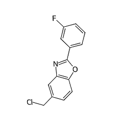 Fc1cccc(-c2nc3cc(CCl)ccc3o2)c1